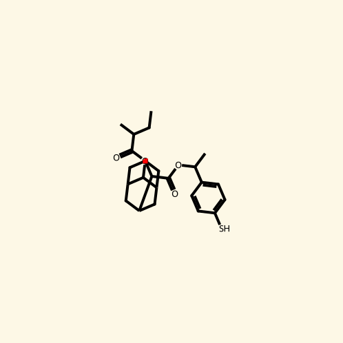 CCC(C)C(=O)OC1C2CC3CC1CC(C2)C3C(=O)OC(C)c1ccc(S)cc1